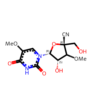 COc1cn([C@@H]2O[C@](C#N)(CO)C(OC)[C@@H]2O)c(=O)[nH]c1=O